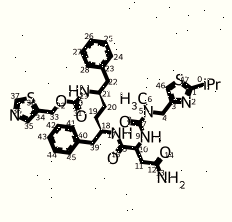 CC(C)c1nc(CN(C)C(=O)NC(CC(N)=O)C(=O)N[C@H](CC[C@H](Cc2ccccc2)NC(=O)OCc2cncs2)Cc2ccccc2)cs1